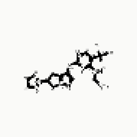 CCNc1nc(Nc2cnn3c2CC(n2nccn2)C3)ncc1C(F)(F)F